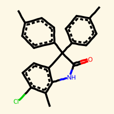 Cc1ccc(C2(c3ccc(C)cc3)C(=O)Nc3c2ccc(Cl)c3C)cc1